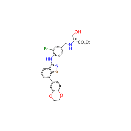 CCOC(=O)[C@@H](CO)NCc1ccc(Nc2nsc3c(-c4ccc5c(c4)OCCO5)cccc23)c(Br)c1